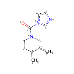 C=C1CCN(C(=O)n2ccnc2)CC1=C